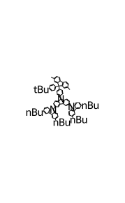 CCCCc1ccc2c(c1)c1cc(CCCC)ccc1n2-c1ccc2c(c1)c1cc(-n3c4ccc(CCCC)cc4c4cc(CCCC)ccc43)ccc1n2-c1ccc(C2(c3ccc(C(C)(C)C)cc3)c3cc(C)ccc3-c3ccc(C)cc32)cc1